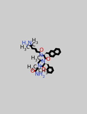 CN(C(=O)C=CCC(C)(C)N)[C@H](Cc1ccc2ccccc2c1)C(=O)N1CCN(C(C)(C)C(N)=O)C(=O)[C@H]1Cc1ccccc1